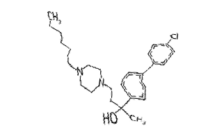 CCCCCCN1CCN(CCC(C)(O)c2ccc(-c3ccc(Cl)cc3)cc2)CC1